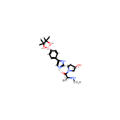 CC(C)[C@H](NC(=O)O)C(=O)N1C[C@H](O)C[C@H]1c1ncc(-c2ccc(B3OC(C)(C)C(C)(C)O3)cc2)[nH]1